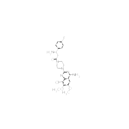 COc1cc2c(N)nc(N3CCN(C(=O)C[C@@H](N)c4ccc(F)cc4)CC3)nc2c(Cl)c1OC